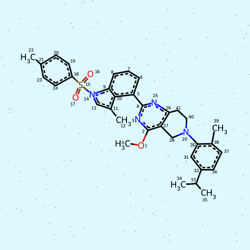 COc1nc(-c2cccc3c2c(C)cn3S(=O)(=O)c2ccc(C)cc2)nc2c1CN(c1cc(C(C)C)ccc1C)CC2